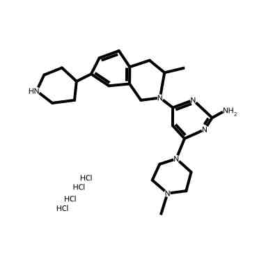 CC1Cc2ccc(C3CCNCC3)cc2CN1c1cc(N2CCN(C)CC2)nc(N)n1.Cl.Cl.Cl.Cl